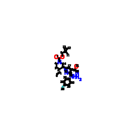 C=C[C@@H]1CCN(C(=O)OCC2(C)CC2)C[C@H]1n1cc(C(N)=O)c(Nc2ccc(F)cc2)n1